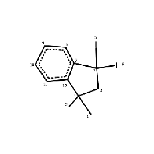 CC1(C)CC(I)(I)c2ccccc21